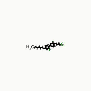 CCCCCCCCc1ccc(-c2ccc(CCC=CCl)c(F)c2)c(F)c1